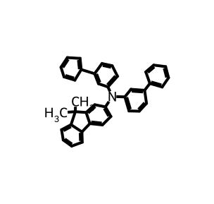 CC1(C)c2ccccc2-c2ccc(N(c3cccc(-c4ccccc4)c3)c3cccc(-c4ccccc4)c3)cc21